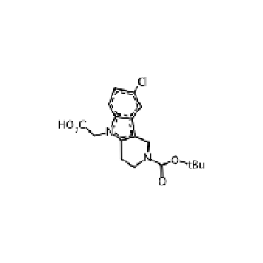 CC(C)(C)OC(=O)N1CCc2c(c3cc(Cl)ccc3n2CC(=O)O)C1